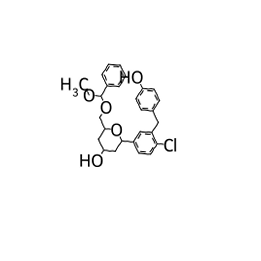 COC(OCC1CC(O)CC(c2ccc(Cl)c(Cc3ccc(O)cc3)c2)O1)c1ccccc1